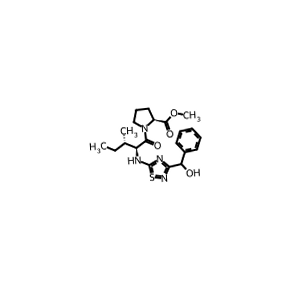 CC[C@H](C)[C@H](Nc1nc(C(O)c2ccccc2)ns1)C(=O)N1CCC[C@H]1C(=O)OC